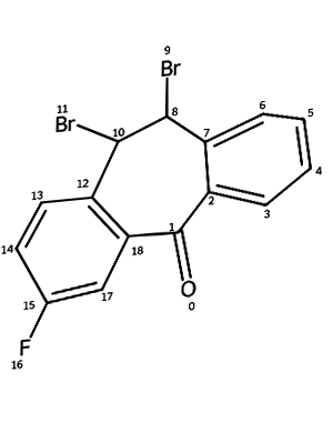 O=C1c2ccccc2C(Br)C(Br)c2ccc(F)cc21